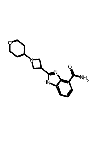 NC(=O)c1cccc2[nH]c(C3CN(C4CCOCC4)C3)nc12